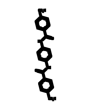 O=C(O)c1ccc(C(=O)Nc2ccc(NC(=O)c3ccc(C(=O)O)cc3)cc2)cc1